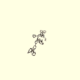 NC(/C=C(\C=C\Nc1ccc(-c2ccc3c(c2)c2ccccc2n3-c2ccccc2)cc1-c1ccccc1)c1ccccc1)c1cccc2c1sc1ccccc12